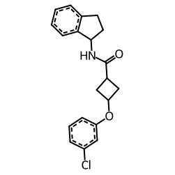 O=C(NC1CCc2ccccc21)C1CC(Oc2cccc(Cl)c2)C1